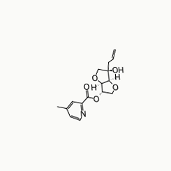 C=CC[C@@]1(O)CO[C@@H]2[C@@H](OC(=O)c3cc(C)ccn3)CO[C@@H]21